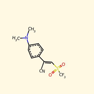 CN(C)c1ccc(/C(C#N)=C/S(=O)(=O)C(F)(F)F)cc1